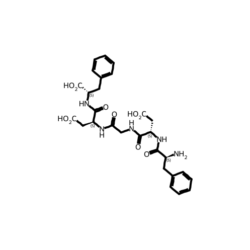 N[C@@H](Cc1ccccc1)C(=O)N[C@@H](CC(=O)O)C(=O)NCC(=O)N[C@@H](CC(=O)O)C(=O)N[C@@H](Cc1ccccc1)C(=O)O